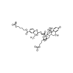 COc1cc(C(=O)OCCCCO[N+](=O)[O-])ccc1OC(=O)OCC(=O)[C@@]1(OC(=O)CCCO[N+](=O)[O-])[C@H](O)CC2C3C[C@H](F)C4=CC(=O)C=C[C@]4(C)[C@@]3(F)[C@@H](O)C[C@@]21C